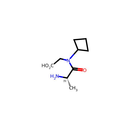 C[C@H](N)C(=O)N(CC(=O)O)C1CCC1